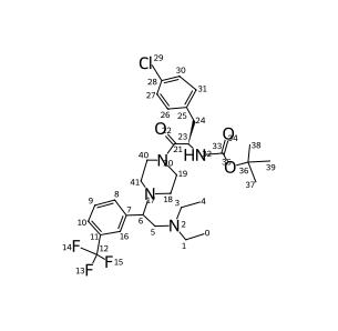 CCN(CC)CC(c1cccc(C(F)(F)F)c1)N1CCN(C(=O)[C@@H](Cc2ccc(Cl)cc2)NC(=O)OC(C)(C)C)CC1